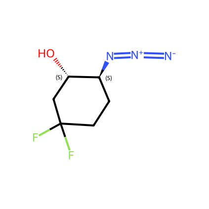 [N-]=[N+]=N[C@H]1CCC(F)(F)C[C@@H]1O